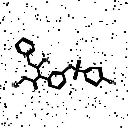 COC(=O)C(c1cccc(OS(=O)(=O)c2ccc(C)cc2)c1)C(N)Cc1ccccc1